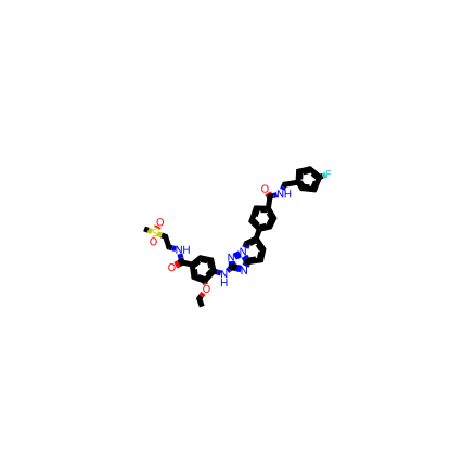 CCOc1cc(C(=O)NCCS(C)(=O)=O)ccc1Nc1nc2ccc(-c3ccc(C(=O)NCc4ccc(F)cc4)cc3)cn2n1